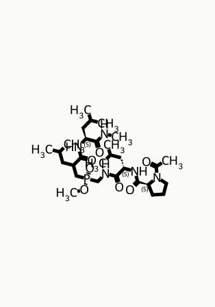 CNC(=O)[C@H](CC(C)C)NC(=O)C(CC(C)C)CP(=O)(CNC(=O)[C@H](CC(C)C)NC(=O)[C@@H]1CCCN1C(C)=O)OC